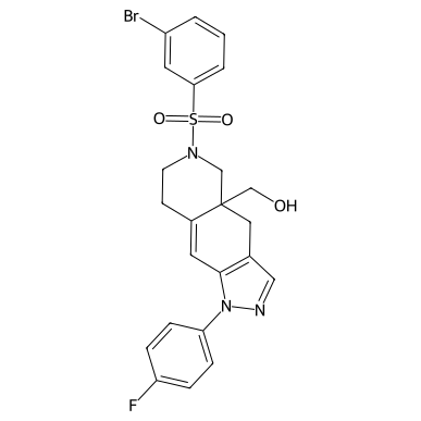 O=S(=O)(c1cccc(Br)c1)N1CCC2=Cc3c(cnn3-c3ccc(F)cc3)CC2(CO)C1